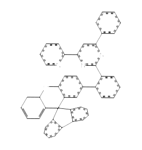 C1=CCC2Oc3ccc(-c4ccccc4-c4nc(-c5ccccc5)cc(-c5ccccn5)n4)cc3C3(C2=C1)c1ccccc1-c1ccccc13